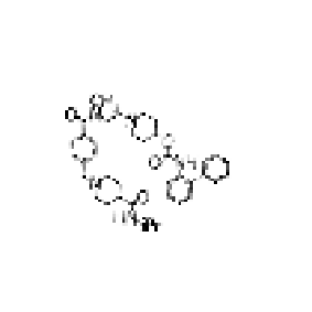 CC(C)NC(=O)C1CCN(Cc2ccc(C(=O)N(C)CCN3CCC(OC(=O)Nc4ccccc4-c4ccccc4)CC3)cc2)CC1